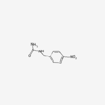 NC(=O)NCc1ccc([N+](=O)[O-])cc1